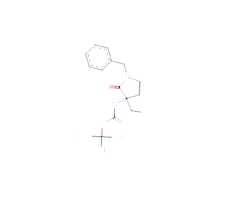 CCC1(NC(=O)OC(C)(C)C)CCN(Cc2ccccc2)C1=O